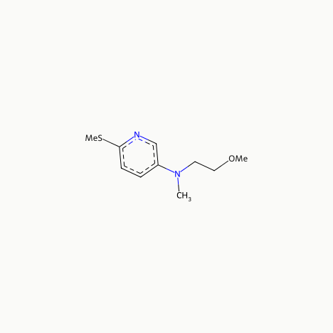 COCCN(C)c1ccc(SC)nc1